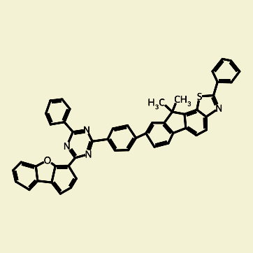 CC1(C)c2cc(-c3ccc(-c4nc(-c5ccccc5)nc(-c5cccc6c5oc5ccccc56)n4)cc3)ccc2-c2ccc3nc(-c4ccccc4)sc3c21